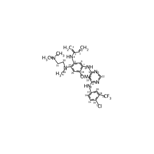 C=CC(=C)Nc1cc(Nc2cc(Nc3ccc(Cl)c(C(F)(F)F)c3)ncn2)c(OC)cc1N(C)CCN(C)C